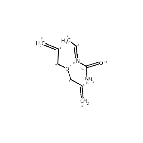 C=CCOCC=C.CC=NC(N)=O